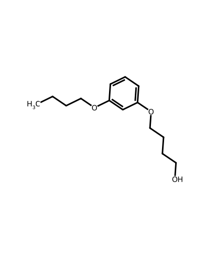 CCCCOc1cccc(OCCCCO)c1